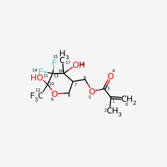 C=C(C)C(=O)OCC1COC(O)(C(F)(F)F)C(F)(F)C1(C)O